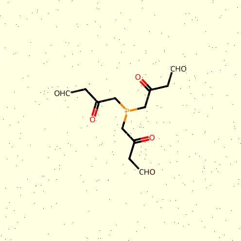 O=CCC(=O)CP(CC(=O)CC=O)CC(=O)CC=O